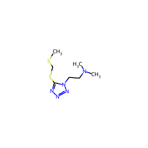 CSCSc1nnnn1CCN(C)C